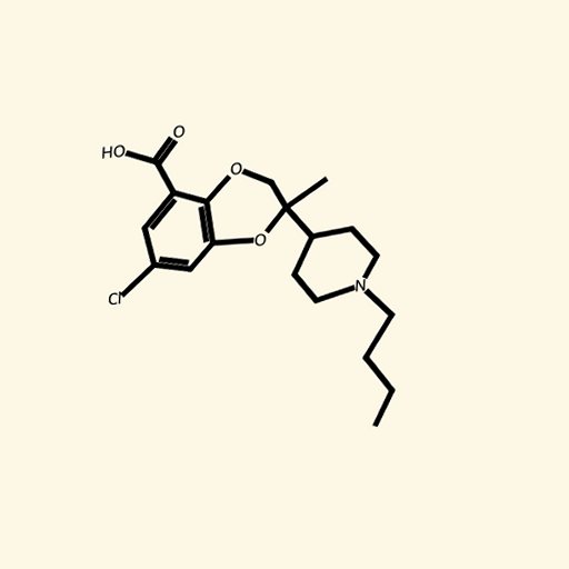 CCCCN1CCC(C2(C)COc3c(cc(Cl)cc3C(=O)O)O2)CC1